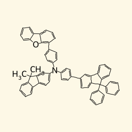 CC1(C)c2ccccc2-c2ccc(N(c3ccc(-c4ccc5c(c4)-c4ccccc4C5(c4ccccc4)c4ccccc4)cc3)c3ccc(-c4cccc5c4oc4ccccc45)cc3)cc21